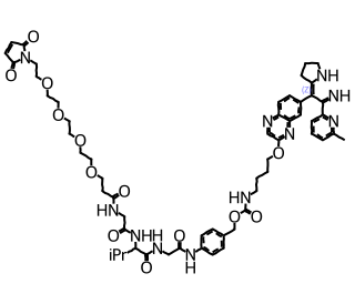 Cc1cccc(C(=N)/C(=C2/CCCN2)c2ccc3ncc(OCCCCNC(=O)OCc4ccc(NC(=O)CNC(=O)C(NC(=O)CNC(=O)CCOCCOCCOCCOCCN5C(=O)C=CC5=O)C(C)C)cc4)nc3c2)n1